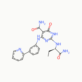 CC[C@@H](Nc1nc(Nc2cccc(-c3ccccn3)c2)c(C(N)=O)c(=O)[nH]1)C(N)=O